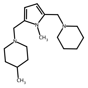 CC1CCN(Cc2ccc(CN3CCCCC3)n2C)CC1